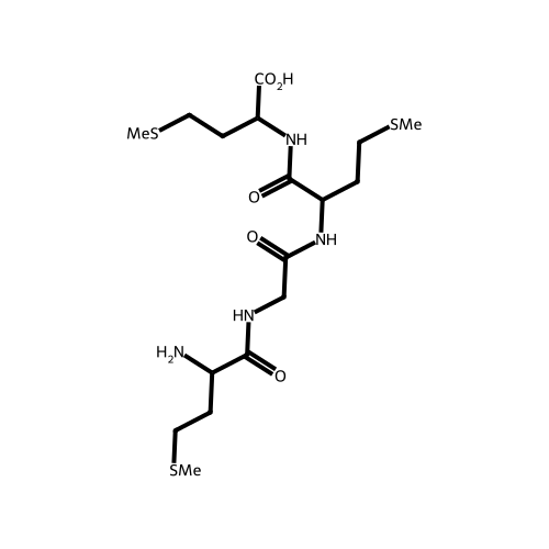 CSCCC(N)C(=O)NCC(=O)NC(CCSC)C(=O)NC(CCSC)C(=O)O